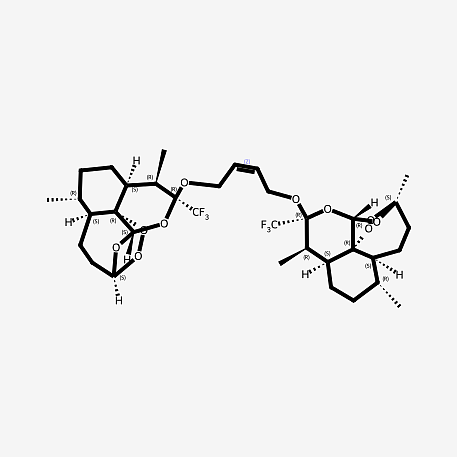 C[C@@H]1CC[C@H]2[C@@H](C)[C@](OC/C=C\CO[C@@]3(C(F)(F)F)O[C@@H]4O[C@]5(C)CC[C@H]6[C@H](C)CC[C@@H]([C@H]3C)[C@@]46OO5)(C(F)(F)F)O[C@@H]3O[C@@H]4CC[C@@H]1[C@]32OO4